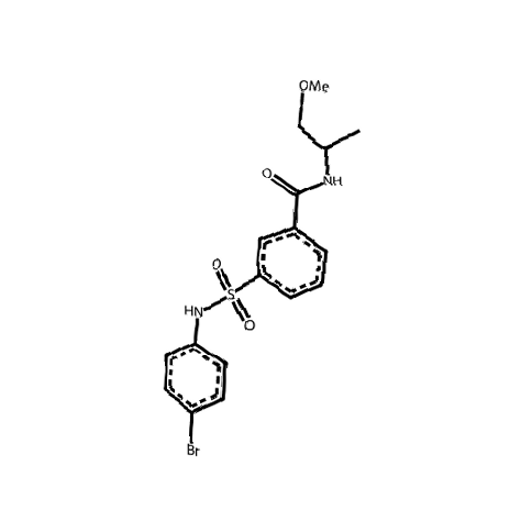 COCC(C)NC(=O)c1cccc(S(=O)(=O)Nc2ccc(Br)cc2)c1